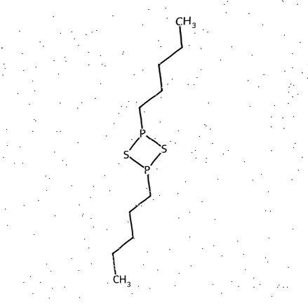 CCCCCP1SP(CCCCC)S1